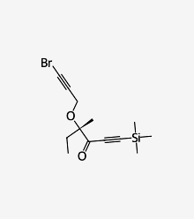 CC[C@](C)(OCC#CBr)C(=O)C#C[Si](C)(C)C